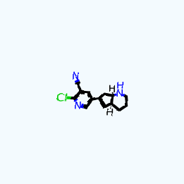 N#Cc1cc(C2=C[C@@H]3CCCN[C@@H]3C2)cnc1Cl